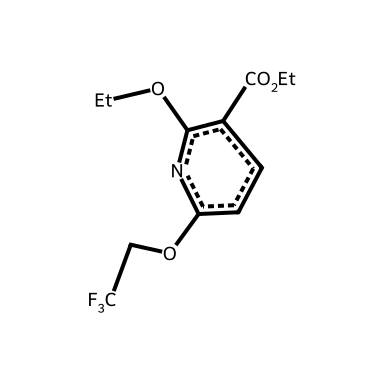 CCOC(=O)c1ccc(OCC(F)(F)F)nc1OCC